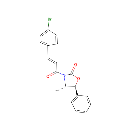 C[C@H]1[C@H](c2ccccc2)OC(=O)N1C(=O)/C=C/c1ccc(Br)cc1